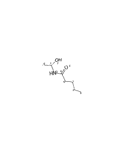 [CH2]C(O)NC(=O)CCCC